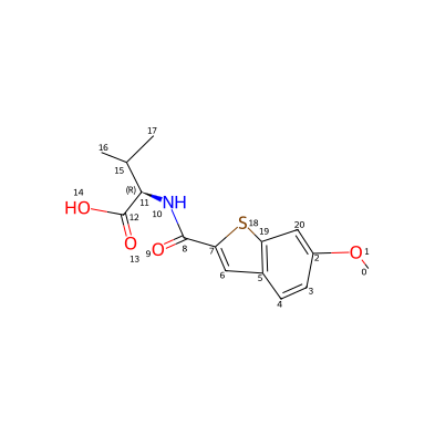 COc1ccc2cc(C(=O)N[C@@H](C(=O)O)C(C)C)sc2c1